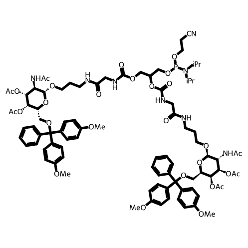 COc1ccc(C(OC[C@H]2O[C@@H](OCCCNC(=O)CNC(=O)OCC(COP(OCCC#N)N(C(C)C)C(C)C)OC(=O)NCC(=O)NCCCO[C@@H]3O[C@H](COC(c4ccccc4)(c4ccc(OC)cc4)c4ccc(OC)cc4)[C@H](OC(C)=O)[C@H](OC(C)=O)[C@H]3NC(C)=O)[C@H](NC(C)=O)[C@@H](OC(C)=O)[C@H]2OC(C)=O)(c2ccccc2)c2ccc(OC)cc2)cc1